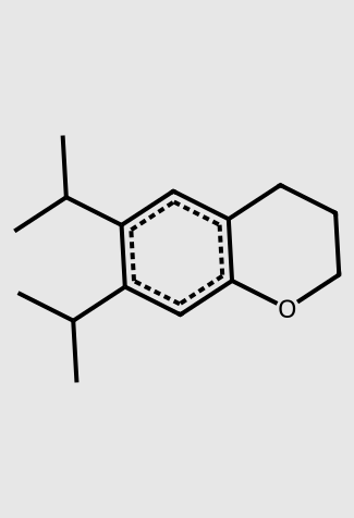 CC(C)c1cc2c(cc1C(C)C)OCCC2